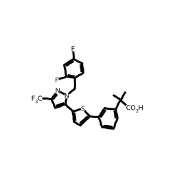 CC(C)(C(=O)O)c1cccc(-c2ccc(-c3cc(C(F)(F)F)nn3Cc3ccc(F)cc3F)s2)c1